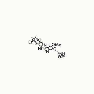 CCn1c(Sc2ccc(Nc3c(C#N)cnc4cc(OCCCNS(C)(=O)=O)c(OC)cc34)cc2Cl)nc(C)c1C